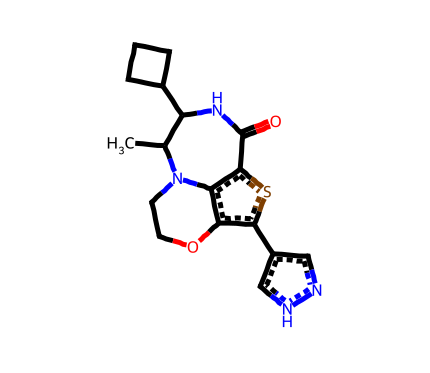 CC1C(C2CCC2)NC(=O)c2sc(-c3cn[nH]c3)c3c2N1CCO3